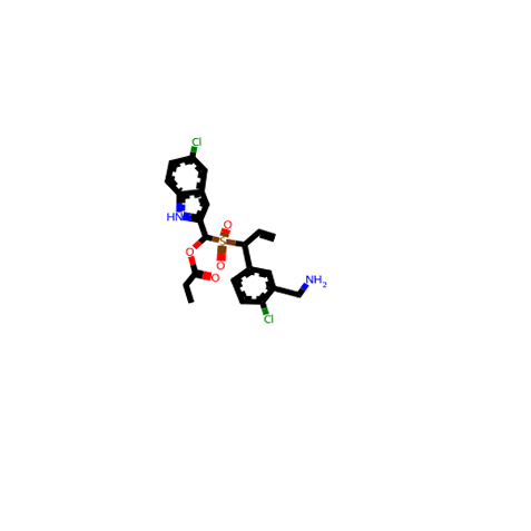 C=CC(c1ccc(Cl)c(CN)c1)S(=O)(=O)C(OC(=O)CC)c1cc2cc(Cl)ccc2[nH]1